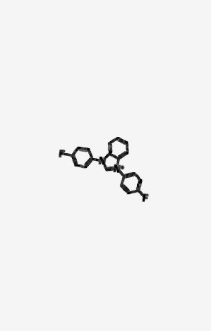 Fc1ccc(-n2c[n+](-c3ccc(F)cc3)c3ccccc32)cc1